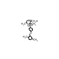 Cc1ccc(C)c(COc2ccc(S(=O)(=O)[C@]3(C)O[C@@H](C)CN[C@@H]3C(=O)O)cc2)c1